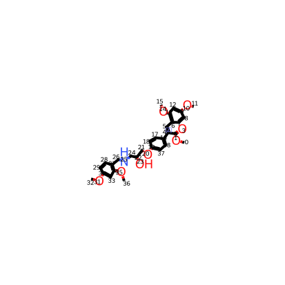 COC(=O)/C(=C\c1ccc(OC)cc1OC)c1ccc(OCC(O)CNCc2ccc(OC)cc2OC)cc1